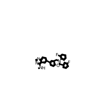 CNc1ncnc2ccc(-c3cccc(CN(C(=O)c4cccc(F)c4)c4ccccc4F)c3)cc12